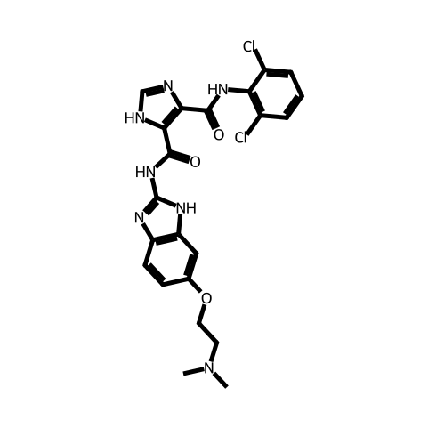 CN(C)CCOc1ccc2nc(NC(=O)c3[nH]cnc3C(=O)Nc3c(Cl)cccc3Cl)[nH]c2c1